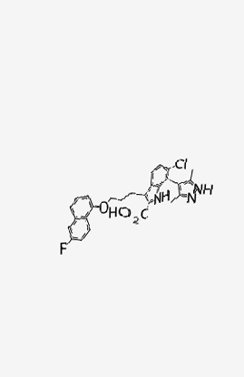 Cc1n[nH]c(C)c1-c1c(Cl)ccc2c(CCCOc3cccc4cc(F)ccc34)c(C(=O)O)[nH]c12